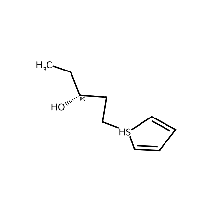 CC[C@@H](O)CC[SH]1C=CC=C1